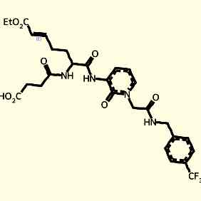 CCOC(=O)/C=C/CCC(NC(=O)CCC(=O)O)C(=O)Nc1cccn(CC(=O)NCc2ccc(C(F)(F)F)cc2)c1=O